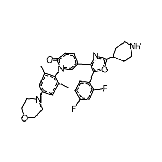 Cc1cc(N2CCOCC2)cc(C)c1-n1cc(-c2nc(C3CCNCC3)oc2-c2ccc(F)cc2F)ccc1=O